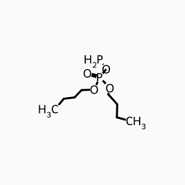 CCCCOP(=O)(OP)OCCCC